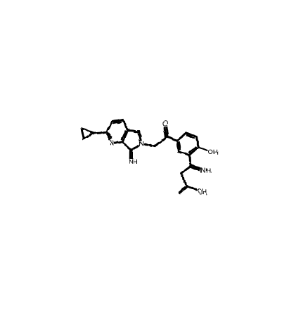 CC(O)CC(=N)c1cc(C(=O)CN2Cc3ccc(C4CC4)nc3C2=N)ccc1O